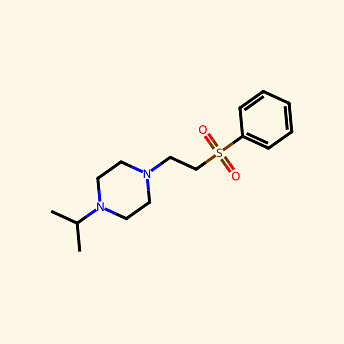 CC(C)N1CCN(CCS(=O)(=O)c2ccccc2)CC1